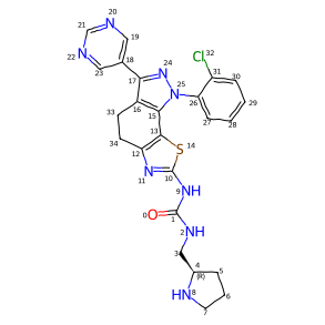 O=C(NC[C@H]1CCCN1)Nc1nc2c(s1)-c1c(c(-c3cncnc3)nn1-c1ccccc1Cl)CC2